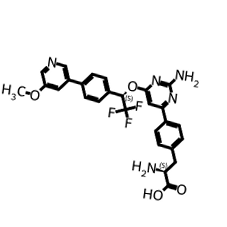 COc1cncc(-c2ccc([C@H](Oc3cc(-c4ccc(C[C@H](N)C(=O)O)cc4)nc(N)n3)C(F)(F)F)cc2)c1